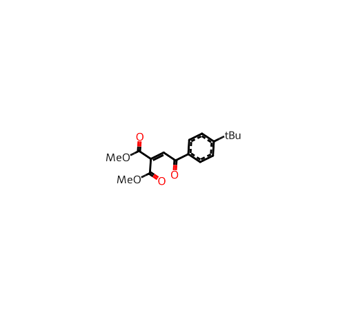 COC(=O)C(=CC(=O)c1ccc(C(C)(C)C)cc1)C(=O)OC